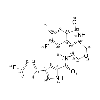 CN(C(=O)c1cc(-c2ccc(F)cc2)n[nH]1)[C@@H]1COCc2[nH]c(=O)c3cc(F)c(F)cc3c21